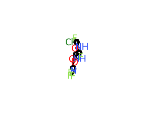 O=C(N[C@H]1CCc2c(C(=O)Nc3ccc(F)c(Cl)c3)ccc(F)c21)OCC1CCN(CC(F)(F)F)CC1